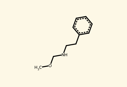 COCNCCc1ccccc1